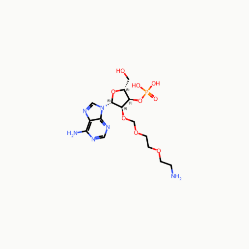 NCCOCCOCO[C@@H]1[C@H](OP(=O)(O)O)[C@@H](CO)O[C@H]1n1cnc2c(N)ncnc21